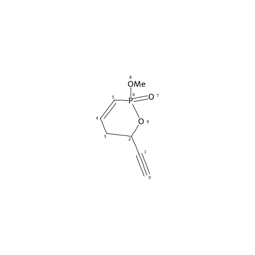 C#CC1CC=CP(=O)(OC)O1